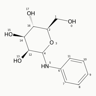 OC[C@H]1OC(Nc2ccccc2)[C@@H](O)[C@@H](O)[C@@H]1O